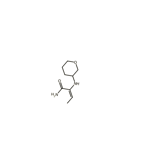 CC=C(NC1CCCOC1)C(N)=O